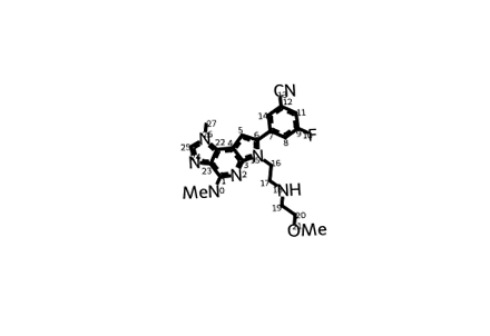 CNc1nc2c(cc(-c3cc(F)cc(C#N)c3)n2CCNCCOC)c2c1ncn2C